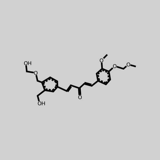 COCOc1ccc(/C=C/C(=O)/C=C/c2ccc(COCO)c(CO)c2)cc1OC